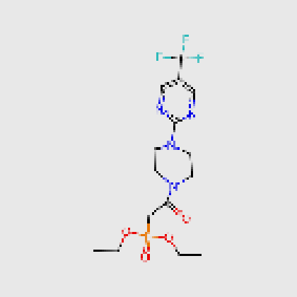 CCOP(=O)(CC(=O)N1CCN(c2ncc(C(F)(F)F)cn2)CC1)OCC